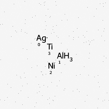 [Ag].[AlH3].[Ni].[Ti]